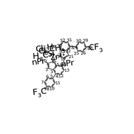 CCCC1=Cc2c(-c3ccc(C(F)(F)F)cc3)cccc2[CH]1[Zr+2]([CH]1C(CCC)=Cc2c(-c3ccc(C(F)(F)F)cc3)cccc21)[SiH](C)C.[Cl-].[Cl-]